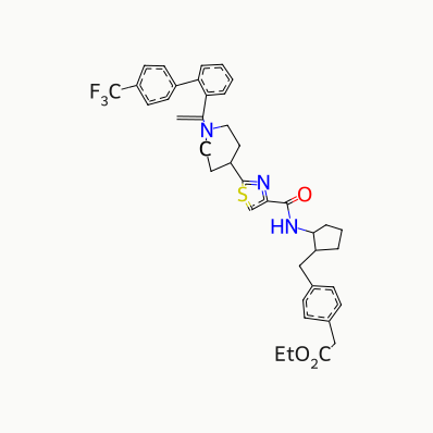 C=C(c1ccccc1-c1ccc(C(F)(F)F)cc1)N1CCC(c2nc(C(=O)NC3CCCC3Cc3ccc(CC(=O)OCC)cc3)cs2)CC1